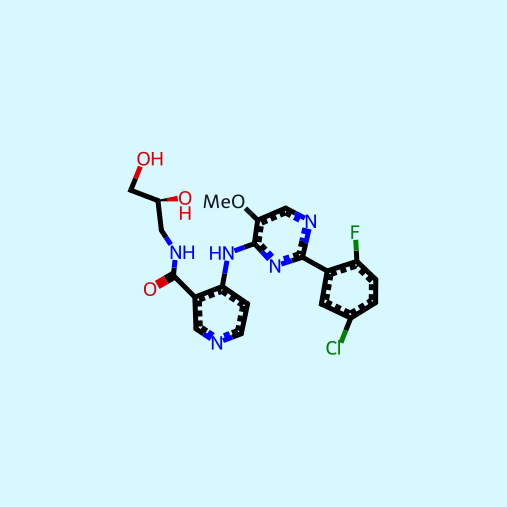 COc1cnc(-c2cc(Cl)ccc2F)nc1Nc1ccncc1C(=O)NC[C@H](O)CO